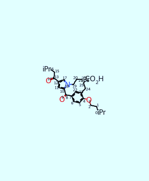 CC(C)CCOc1ccc(C(=O)c2cc(C(=O)CC(C)C)cn2CCC(C)C)cc1CCC(=O)O